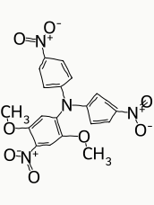 COc1cc([N+](=O)[O-])c(OC)cc1N(c1ccc([N+](=O)[O-])cc1)c1ccc([N+](=O)[O-])cc1